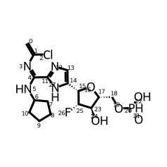 C=C(Cl)/N=C(/NC1CCCC1)c1ncc([C@@H]2O[C@H](CO[PH](=O)O)[C@@H](O)[C@@H]2F)[nH]1